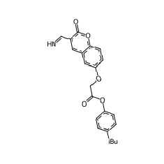 CCC(C)c1ccc(OC(=O)COc2ccc3oc(=O)c(C=N)cc3c2)cc1